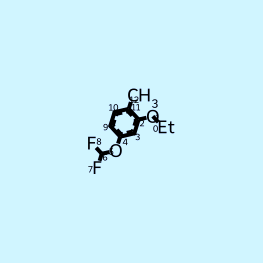 CCOc1cc(OC(F)F)ccc1C